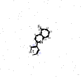 C/C=C\C(=C/CC)c1ccc2c(F)cccc2n1